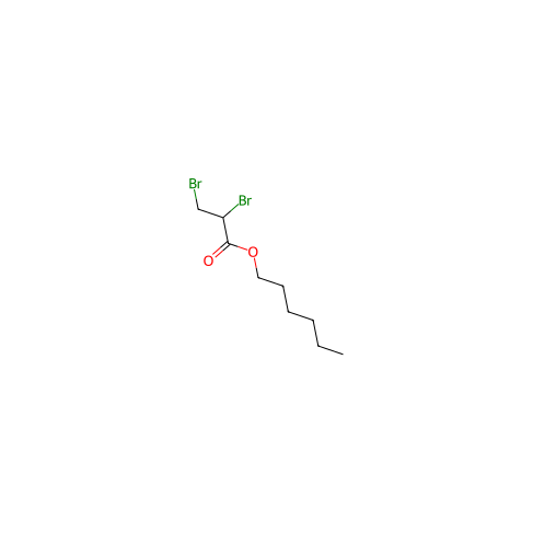 CCCCCCOC(=O)C(Br)CBr